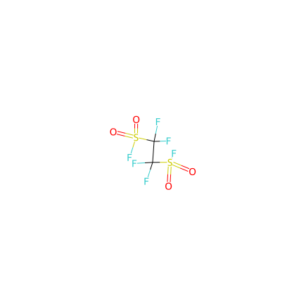 O=S(=O)(F)C(F)(F)C(F)(F)S(=O)(=O)F